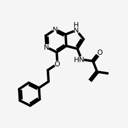 C=C(C)C(=O)Nc1c[nH]c2ncnc(OCCc3ccccc3)c12